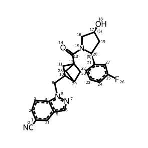 N#Cc1ccc2c(cnn2CC2CC3(C(=O)N4C[C@@H](O)C[C@H]4c4cccc(F)c4)CC2C3)c1